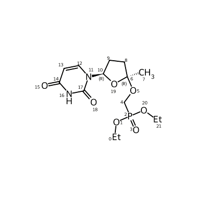 CCOP(=O)(CO[C@]1(C)CC[C@H](n2ccc(=O)[nH]c2=O)O1)OCC